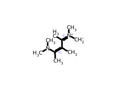 [CH2-]/[N+](C)=C(C)\C(C)=C(\C)N(C)C